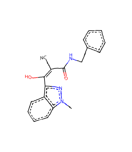 Cn1nc(C(O)=C(C#N)C(=O)NCc2ccccc2)c2ccccc21